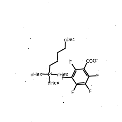 CCCCCCCCCCCCCC[P+](CCCCCC)(CCCCCC)CCCCCC.O=C([O-])c1c(F)c(F)c(F)c(F)c1F